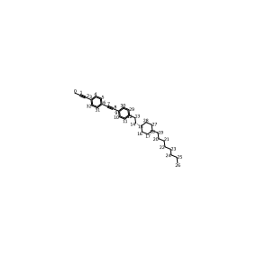 CC#Cc1ccc(C#Cc2ccc(CC[C@H]3CC[C@H](CCCCCCCC)CC3)cc2)cc1